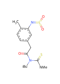 CCC(C)N(C(=O)Cc1ccc(C)c(N=S(=O)=O)c1)C(=S)NC